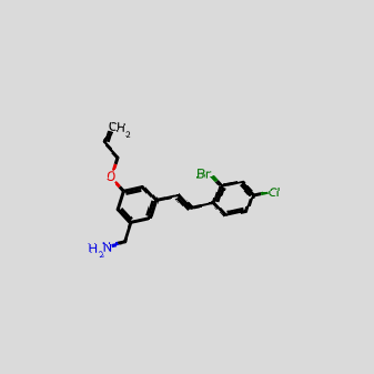 C=CCOc1cc(C=Cc2ccc(Cl)cc2Br)cc(CN)c1